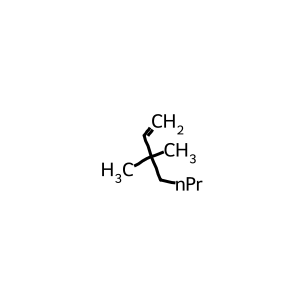 [CH2]CCCC(C)(C)C=C